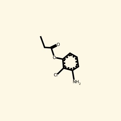 CCC(=O)Oc1cccc(N)c1Cl